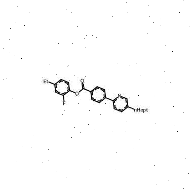 CCCCCCCc1ccc(-c2ccc(C(=O)Oc3ccc(CC)cc3F)cc2)nc1